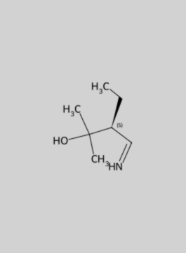 CC[C@@H](C=N)C(C)(C)O